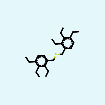 CCc1ccc(CSCc2ccc(CC)c(CC)c2CC)c(CC)c1CC